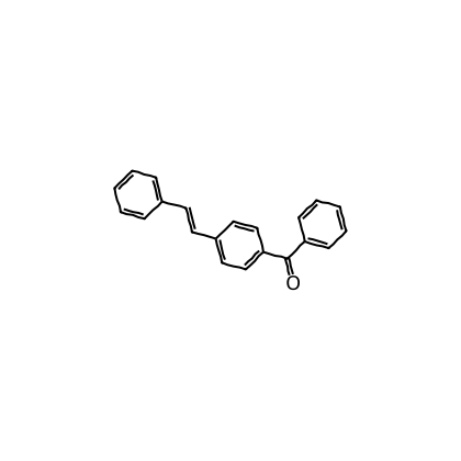 O=C(c1ccccc1)c1ccc(C=Cc2ccccc2)cc1